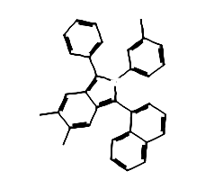 Cc1cccc(-n2c(-c3ccccc3)c3cc(C)c(C)cc3c2-c2cccc3ccccc23)c1